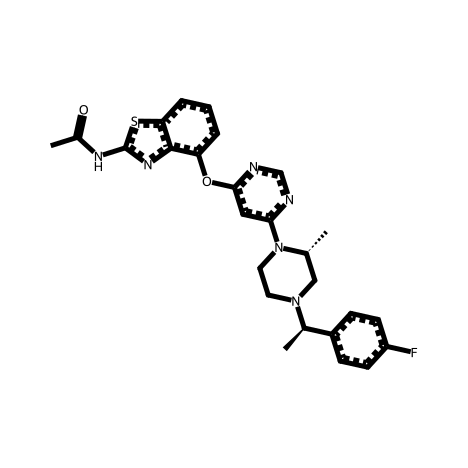 CC(=O)Nc1nc2c(Oc3cc(N4CCN([C@H](C)c5ccc(F)cc5)C[C@H]4C)ncn3)cccc2s1